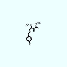 CCCCOC(=O)NC(CCCc1ccc(Cl)cc1)C(=O)O